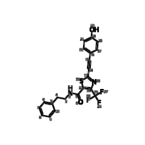 O=C(NCCc1ccccc1)c1sc(C#Cc2ccc(O)cc2)nc1C(F)(F)F